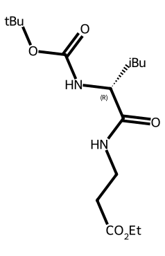 CCOC(=O)CCNC(=O)[C@H](NC(=O)OC(C)(C)C)C(C)CC